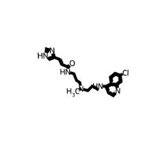 CN(CCCNC(=O)C=Cc1c[nH]cn1)CCCNc1ccnc2cc(Cl)ccc12